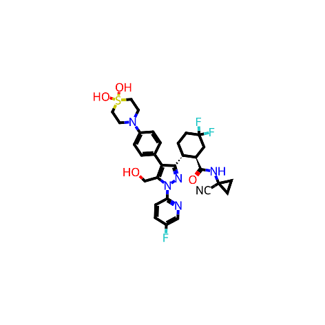 N#CC1(NC(=O)[C@@H]2CC(F)(F)CC[C@H]2c2nn(-c3ccc(F)cn3)c(CO)c2-c2ccc(N3CCS(O)(O)CC3)cc2)CC1